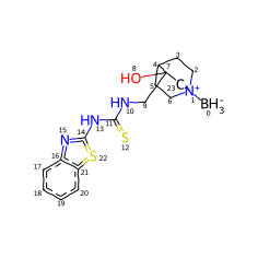 [BH3-][N+]12CCC(CC1)C(O)(CNC(=S)Nc1nc3ccccc3s1)C2